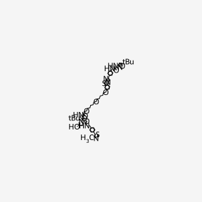 Cc1ncsc1-c1ccc(CNC(=O)[C@@H]2C[C@@H](O)CN2C(=O)[C@@H](NC(=O)COCCCCCOCCCCCOc2ccc3c(c2)sc2nc(-c4ccc(NC(=O)Nc5cc(C(C)(C)C)on5)cc4)cn23)C(C)(C)C)cc1